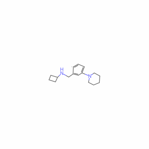 [c]1ccc(N2CCCCC2)cc1CNC1CCC1